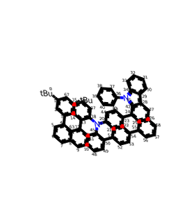 CC(C)(C)c1cc(-c2cccc3cccc(-c4ccccc4N(c4ccc(-c5cccc6c7ccccc7n(-c7ccccc7)c56)cc4)c4ccccc4-c4ccc(-c5ccccc5)cc4)c23)cc(C(C)(C)C)c1